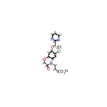 CC[C@H](Oc1cc2c(cc1Cl)N(CCC(=O)O)C(=O)CO2)c1ncccn1